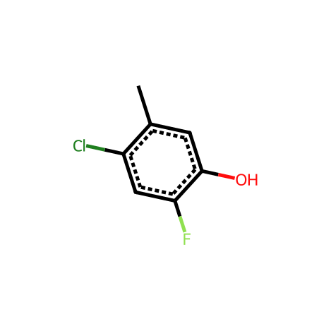 Cc1cc(O)c(F)cc1Cl